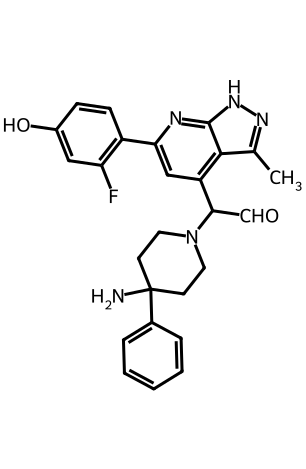 Cc1n[nH]c2nc(-c3ccc(O)cc3F)cc(C(C=O)N3CCC(N)(c4ccccc4)CC3)c12